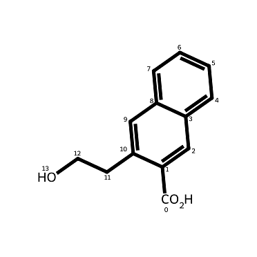 O=C(O)c1cc2ccccc2cc1CCO